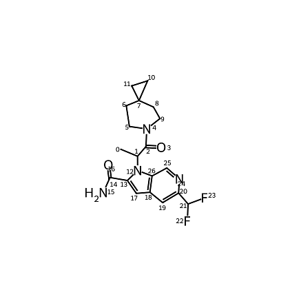 CC(C(=O)N1CCC2(CC1)CC2)n1c(C(N)=O)cc2cc(C(F)F)ncc21